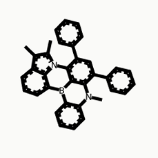 Cc1c(C)n2c3c(cccc13)B1c3ccccc3N(C)c3c(-c4ccccc4)cc(-c4ccccc4)c-2c31